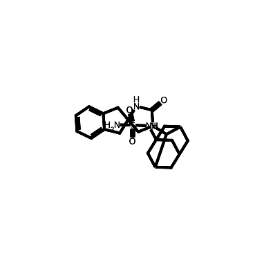 NS(=O)(=O)NC12CC3CC(C1)C(N1CC4(Cc5ccccc5C4)NC1=O)C(C3)C2